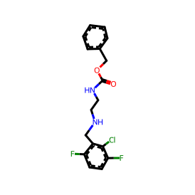 O=C(NCCNCc1c(F)ccc(F)c1Cl)OCc1ccccc1